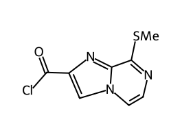 CSc1nccn2cc(C(=O)Cl)nc12